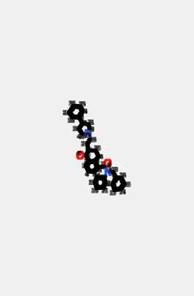 O=C1c2cccc(C(=O)N(Cc3ccccc3)c3ccccc3)c2CCC1CCN1CCC(c2ccccc2)CC1